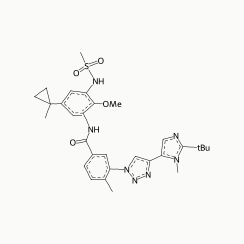 COc1c(NC(=O)c2ccc(C)c(-n3cc(-c4cnc(C(C)(C)C)n4C)nn3)c2)cc(C2(C)CC2)cc1NS(C)(=O)=O